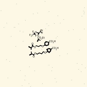 C=C(C)C(=O)OCC.C=C(C)C(=O)OCCCCOc1ccc(C(=O)O)cc1.C=C(C)C(=O)OCCCOc1ccc(C(=O)O)cc1.CC(C)N(F)C(=O)OC(F)(F)C(F)(F)F